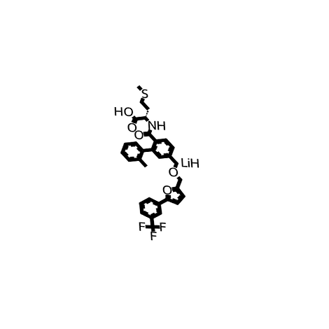 CSCC[C@H](NC(=O)c1ccc(COCc2ccc(-c3cccc(C(F)(F)F)c3)o2)cc1-c1ccccc1C)C(=O)O.[LiH]